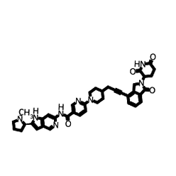 CN1CCC[C@@H]1c1cc2cnc(NC(=O)c3ccc(N4CCC(CC#Cc5cccc6c5CN(C5CCC(=O)NC5=O)C6=O)CC4)nc3)cc2[nH]1